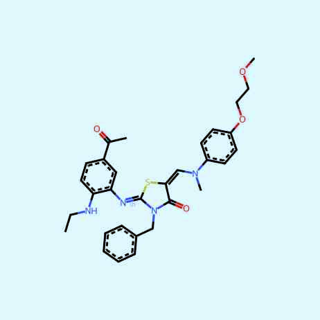 CCNc1ccc(C(C)=O)cc1/N=C1\SC(=CN(C)c2ccc(OCCOC)cc2)C(=O)N1Cc1ccccc1